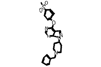 CS(=O)(=O)c1ccc(Oc2ncnc3c2cnn3C2CCN(Cc3ccccc3)CC2)cc1